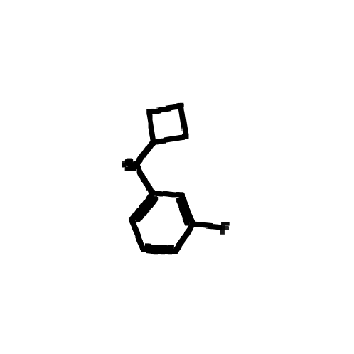 Fc1ccc[c]([Sn][CH]2CCC2)c1